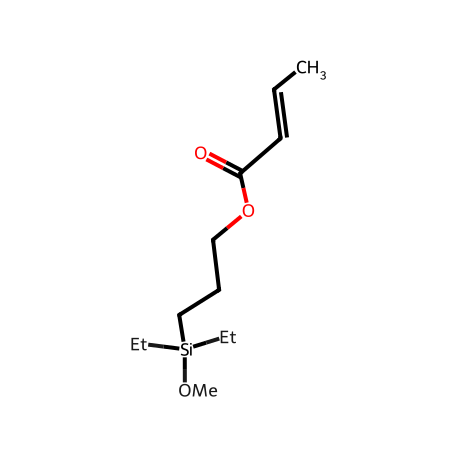 CC=CC(=O)OCCC[Si](CC)(CC)OC